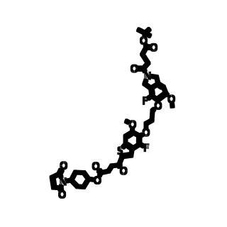 COc1cc2c(c(F)c1OCCCOc1c(OC)cc3sc(C(=O)CCC(=O)OC4CCC(N5C(=O)C=CC5=O)CC4)cc3c1F)CN(C(=O)CCC(=O)OC(C)(C)C)C2